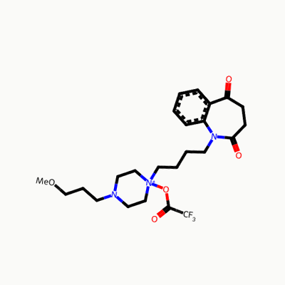 COCCCN1CC[N+](CCCCN2C(=O)CCC(=O)c3ccccc32)(OC(=O)C(F)(F)F)CC1